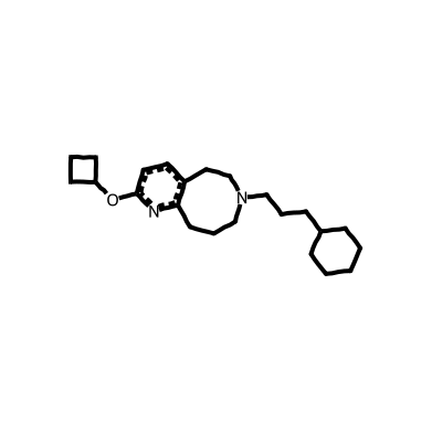 c1cc2c(nc1OC1CCC1)CCCN(CCCC1CCCCC1)CC2